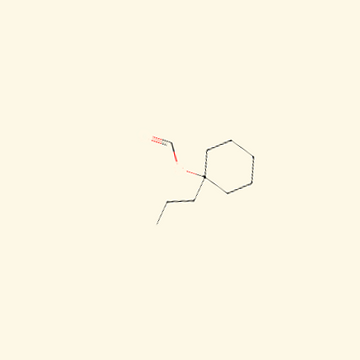 CCCC1(O[C]=O)CCCCC1